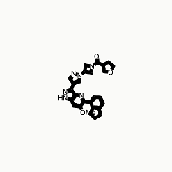 COc1cc2[nH]nc(-c3cnn(C4CN(C(=O)C5CCOC5)C4)c3)c2nc1-c1cccc2c1CCC2